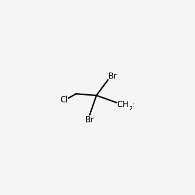 [CH2]C(Br)(Br)CCl